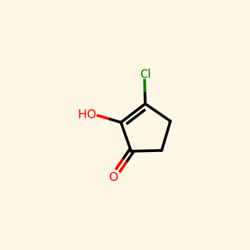 O=C1CCC(Cl)=C1O